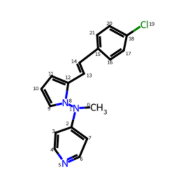 CN(c1ccncc1)n1cccc1C=Cc1ccc(Cl)cc1